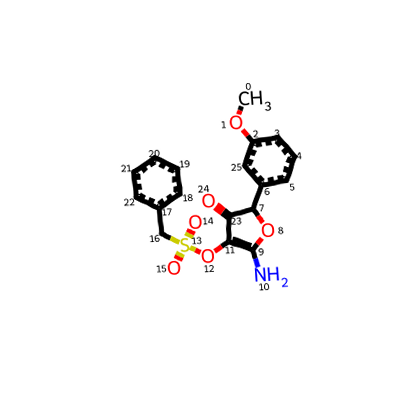 COc1cccc(C2OC(N)=C(OS(=O)(=O)Cc3ccccc3)C2=O)c1